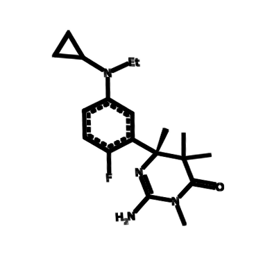 CCN(c1ccc(F)c([C@@]2(C)N=C(N)N(C)C(=O)C2(C)C)c1)C1CC1